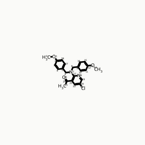 COc1ccc(CN(Cc2ccc(OC)cc2)c2ncc(Cl)cc2C(C)=O)cc1